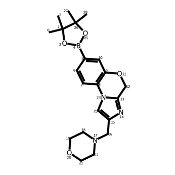 CC1(C)OB(c2ccc3c(c2)OCc2nc(CN4CCOCC4)cn2-3)OC1(C)C